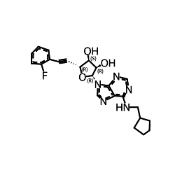 O[C@@H]1[C@H](O)[C@@H](C#Cc2ccccc2F)O[C@H]1n1cnc2c(NCC3CCCC3)ncnc21